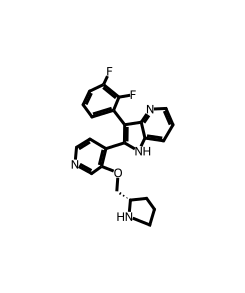 Fc1cccc(-c2c(-c3ccncc3OC[C@@H]3CCCN3)[nH]c3cccnc23)c1F